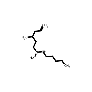 C=CCC(C)CCN(C)NCCCCC